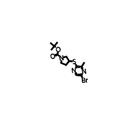 Cc1nc(Br)cnc1SC1CCN(C(=O)OC(C)(C)C)C1